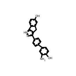 Nc1cc(-c2ccc(-c3n[nH]c4c3Cc3cc(O)ccc3-4)cc2)ccc1O